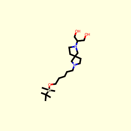 CC(C)(C)[Si](C)(C)OCCCCCN1CCC2(CCN(C(CO)CO)C2)C1